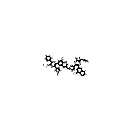 CC#CCc1nc(-c2cc(Cl)c3ncccc3c2)c(-c2ccn(Cc3cnc4c(Cl)cc(-c5nc(-c6ccccc6)c(N)nc5-c5ccn(C)n5)cc4c3)n2)nc1N